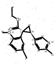 CCOC(=O)[C@]1(c2cc(C)ccc2OC)C[C@H]1c1ccc(C)nc1